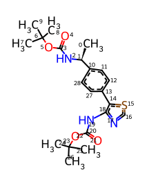 C[C@H](NC(=O)OC(C)(C)C)c1ccc(-c2scnc2NC(=O)OC(C)(C)C)cc1